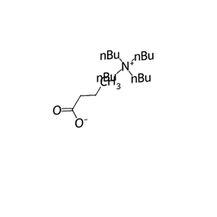 CCCC(=O)[O-].CCCC[N+](CCCC)(CCCC)CCCC